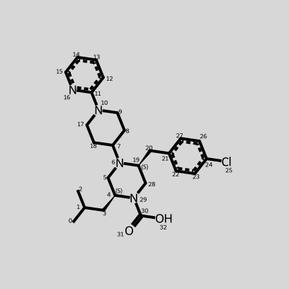 CC(C)C[C@H]1CN(C2CCN(c3ccccn3)CC2)[C@@H](Cc2ccc(Cl)cc2)CN1C(=O)O